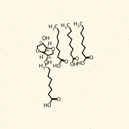 CCCCCCCC(=O)O.CCCCCCCC(=O)O.CCCCCCCC(=O)O.CCCCCCCC(=O)O.O[C@@H]1CO[C@H]2[C@@H]1OC[C@@H]2O